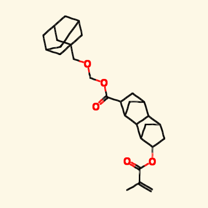 C=C(C)C(=O)OC1CC2CC1C1C3CC(CC3C(=O)OCOCC34CC5CC(CC(C5)C3)C4)C21